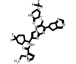 CCn1nccc1C(=O)N[C@H](c1cn2nc(C[C@H]3C[C@@H](C(F)(F)F)CNC3=O)c(C3Cc4cncnc4C3)nc2n1)C1CCC(F)(F)CC1